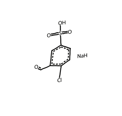 O=Cc1cc(S(=O)(=O)O)ccc1Cl.[NaH]